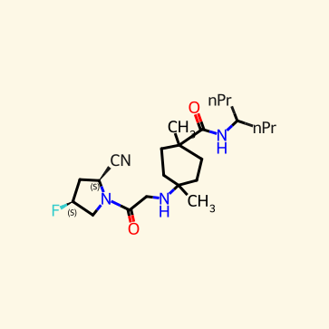 CCCC(CCC)NC(=O)C1(C)CCC(C)(NCC(=O)N2C[C@@H](F)C[C@H]2C#N)CC1